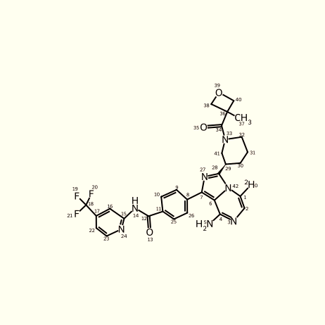 [2H]c1cnc(N)c2c(-c3ccc(C(=O)Nc4cc(C(F)(F)F)ccn4)cc3)nc([C@@H]3CCCN(C(=O)C4(C)COC4)C3)n12